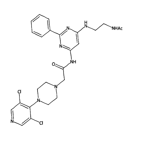 CC(=O)NCCNc1cc(NC(=O)CN2CCN(c3c(Cl)cncc3Cl)CC2)nc(-c2ccccc2)n1